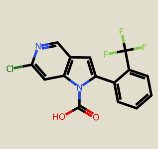 O=C(O)n1c(-c2ccccc2C(F)(F)F)cc2cnc(Cl)cc21